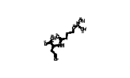 O=CCC(NC(=O)CCCON(O)O)C(=O)O